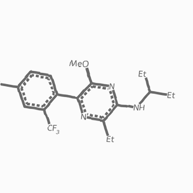 CCc1nc(-c2ccc(F)cc2C(F)(F)F)c(OC)nc1NC(CC)CC